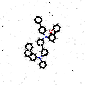 c1ccc(-c2ccc(N(c3cccc(-c4cccc(N(c5ccccc5)c5ccc6ccc7ccccc7c6c5)c4)c3)c3cccc4c3oc3ccccc34)cc2)cc1